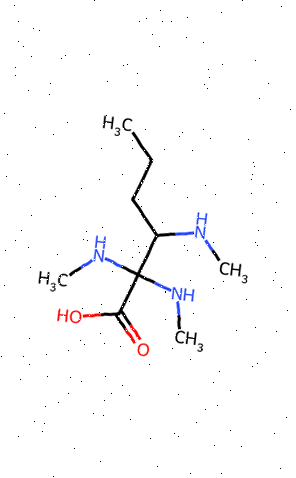 CCCC(NC)C(NC)(NC)C(=O)O